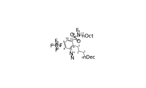 CCCCCCCCCCCCCc1c([N+]#N)cccc1S(=O)(=O)N(F)CCCCCCCC.F[B-](F)(F)F